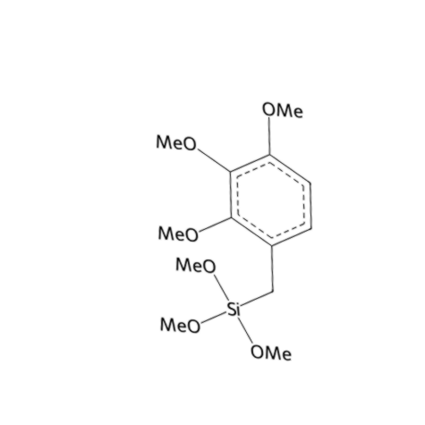 COc1ccc(C[Si](OC)(OC)OC)c(OC)c1OC